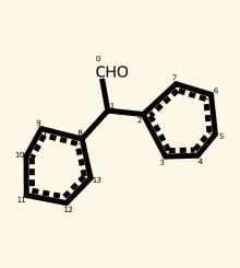 O=CC(c1cc[c]cc1)c1ccccc1